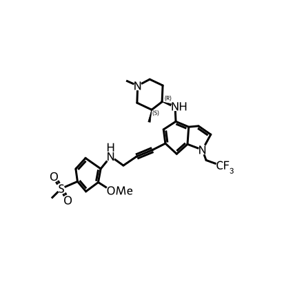 COc1cc(S(C)(=O)=O)ccc1NCC#Cc1cc(N[C@@H]2CCN(C)C[C@@H]2C)c2ccn(CC(F)(F)F)c2c1